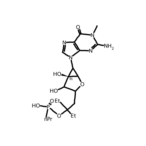 CCCP(=O)(O)OC(CC)(CC)CC1OC2C(n3cnc4c(=O)n(C)c(N)nc43)[C@@]2(O)C1O